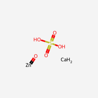 O=S(=O)(O)O.[CaH2].[O]=[Zn]